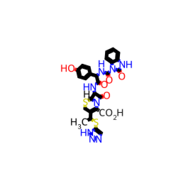 CC(Sc1cnn[nH]1)C1=C(C(=O)O)N2C(=O)C(NC(=O)C(NC(=O)n3c(=O)[nH]c4ccccc43)c3ccc(O)cc3)[C@@H]2SC1